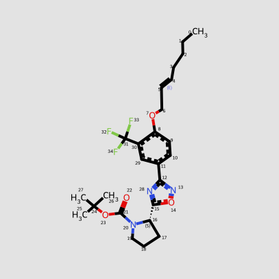 CCCC/C=C/COc1ccc(-c2noc([C@@H]3CCCN3C(=O)OC(C)(C)C)n2)cc1C(F)(F)F